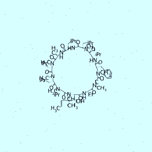 C/C=C/C[C@@H](C)[C@@H](O)[C@H]1C(=O)N[C@@H](CC)C(=O)N(C)CC(=O)N(C)[C@@H](Cc2ccccc2)C(=O)N[C@@H](C(C)C)C(=O)N(C)[C@@H](CC(C)C)C(=O)N[C@@H](CC(C)C)C(=O)N[C@H](C)C(=O)N(C)[C@@H](CC(C)C)C(=O)N(C)[C@@H](CC(C)C)C(=O)N(C)[C@@H](C(C)C)C(=O)N1C